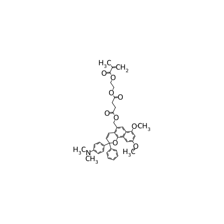 C=C(C)C(=O)OCCOC(=O)CCC(=O)OCc1cc2c(OC)cc(OC)cc2c2c1C=CC(c1ccccc1)(c1ccc(N(C)C)cc1)O2